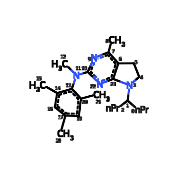 CCCC(CCC)N1CCc2c(C)nc(N(C)c3c(C)cc(C)cc3C)nc21